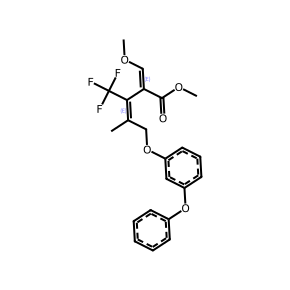 CO/C=C(C(=O)OC)\C(=C(\C)COc1cccc(Oc2ccccc2)c1)C(F)(F)F